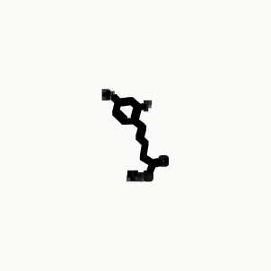 COC(=O)CCC=Cc1ccc(Br)cc1F